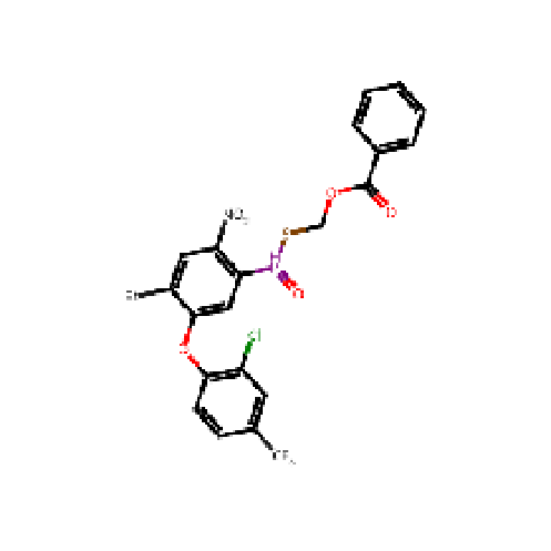 CCc1cc([N+](=O)[O-])c([PH](=O)SCOC(=O)c2ccccc2)cc1Oc1ccc(C(F)(F)F)cc1Cl